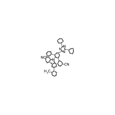 Cc1ccccc1-c1ccc2c(c1)c1ccccc1n2-c1c(-c2cccc(C#N)c2)cc(-c2nc(-c3ccccc3)nc(-c3ccccc3)n2)cc1-c1cccc(C#N)c1